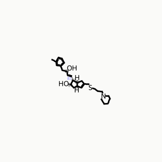 Cc1cccc(C[C@H](O)/C=C/[C@@H]2[C@H]3CC(CSCCCN4CCCCC4)=C[C@H]3C[C@H]2O)c1